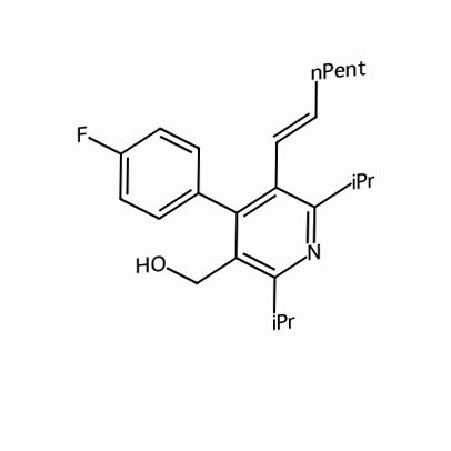 CCCCCC=Cc1c(C(C)C)nc(C(C)C)c(CO)c1-c1ccc(F)cc1